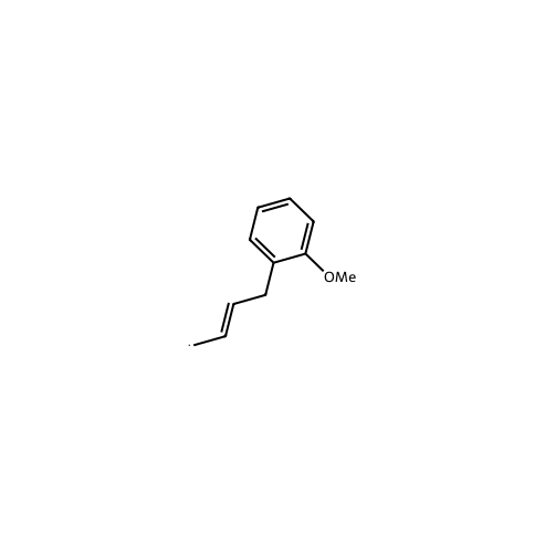 [CH2]C=CCc1ccccc1OC